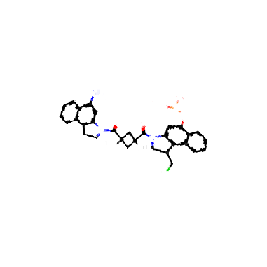 CCC1(C(=O)N2CCc3c2cc(N)c2ccccc32)CC(C)(C(=O)N2CC(CCl)c3c2cc(OP(O)O)c2ccccc32)C1